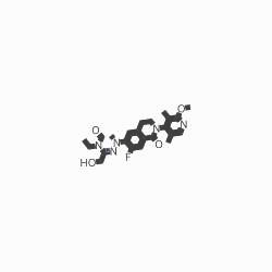 CCN(C=O)/C(CO)=N\N(C)c1cc2c(cc1F)C(=O)N(c1c(C)cnc(OC)c1C)CC2